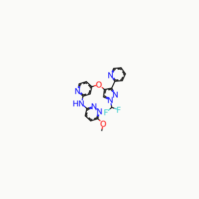 COc1ccc(Nc2cc(Oc3cn(C(F)F)nc3-c3ccccn3)ccn2)nn1